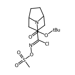 CC(C)(C)OC(=O)N1C2CCC1CC(C(Cl)=NOS(C)(=O)=O)C2